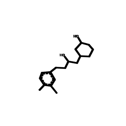 Cc1ccc(CCC(O)CC2CCCC(O)C2)cc1C